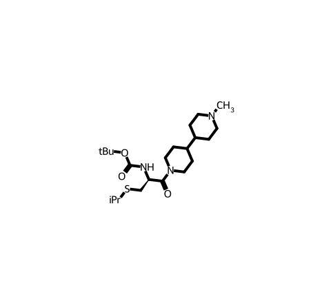 CC(C)SC[C@@H](NC(=O)OC(C)(C)C)C(=O)N1CCC(C2CCN(C)CC2)CC1